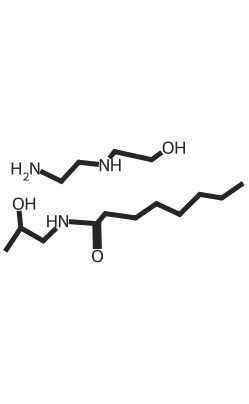 CCCCCCCC(=O)NCC(C)O.NCCNCCO